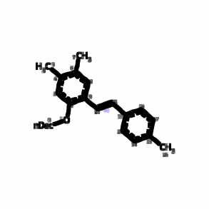 CCCCCCCCCCOc1cc(C)c(C)cc1/C=C/c1ccc(C)cc1